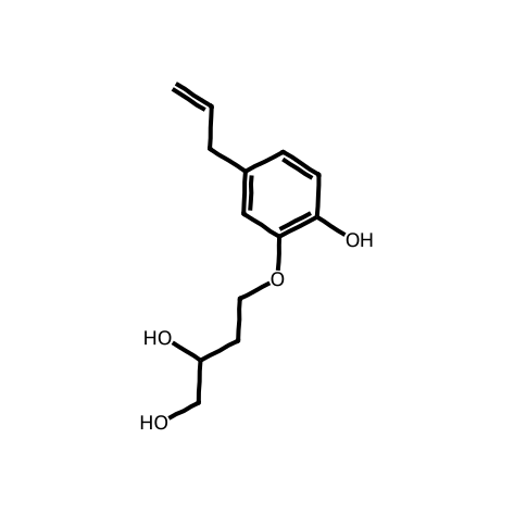 C=CCc1ccc(O)c(OCCC(O)CO)c1